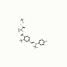 Cc1cc(C(/C=C/c2ccc(C(=O)NC3(C(=O)NCC(F)(F)F)CC3)c(C(F)(F)F)c2)C(F)(F)F)ccc1F